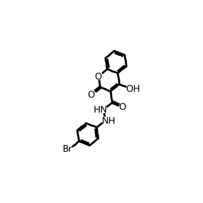 O=C(NNc1ccc(Br)cc1)c1c(O)c2ccccc2oc1=O